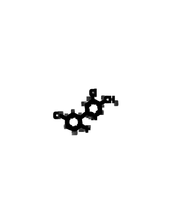 Cc1cnc(-c2cc(Cl)ccc2F)cc1Cl